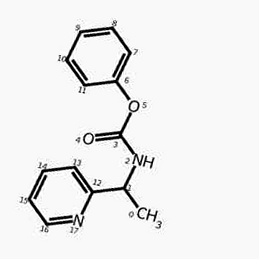 CC(NC(=O)Oc1ccccc1)c1ccccn1